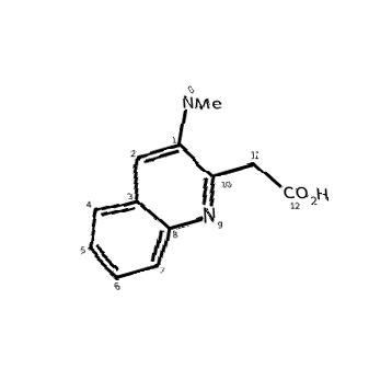 CNc1cc2ccccc2nc1CC(=O)O